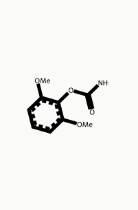 COc1cccc(OC)c1OC([NH])=O